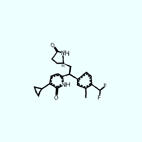 Cc1cc(C(C[C@H]2CCC(=O)N2)c2ccc(C3CC3)c(=O)[nH]2)ccc1C(F)F